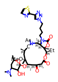 CC[C@H]1OC(=O)[C@H](C)C(=O)[C@H](C)[C@@H](O[C@@H]2OC(C)CC(N(C)C)C2O)[C@](C)(OC)C[C@@H](C)CN(C(C)=O)[C@H](C)[C@H]2N(CCCCn3cc(-c4nccs4)nn3)C(=O)O[C@]12C